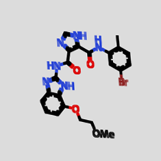 COCCOc1cccc2nc(NC(=O)c3nc[nH]c3C(=O)Nc3cc(Br)ccc3C)[nH]c12